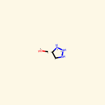 C1CNNN1.CO